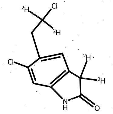 [2H]C([2H])(Cl)Cc1cc2c(cc1Cl)NC(=O)C2([2H])[2H]